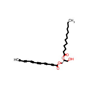 C#CC#CC#CC#CC#CC#CC(=O)OC[C@@H](CO)OC(=O)CCCCCCCCCCCC